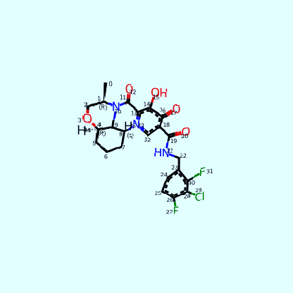 C[C@@H]1CO[C@@H]2CCC[C@H]3C2N1C(=O)c1c(O)c(=O)c(C(=O)NCc2ccc(F)c(Cl)c2F)cn13